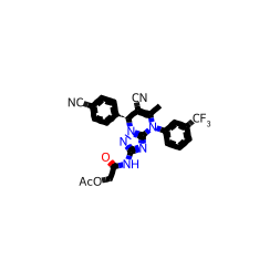 CC(=O)OCC(=O)Nc1nc2n(n1)[C@H](c1ccc(C#N)cc1)C(C#N)=C(C)N2c1cccc(C(F)(F)F)c1